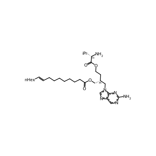 CCCCCCC=CCCCCCCCC(=O)OC[C@H](CCOC(=O)[C@@H](N)C(C)C)Cn1cnc2cnc(N)nc21